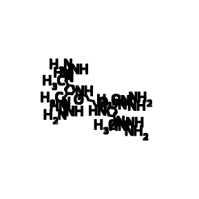 C/C(=N\NC(=N)N)c1cc(NC(=O)CCCCC(=O)Nc2cc(/C(C)=N/NC(=N)N)cc(/C(C)=N/NC(=N)N)c2)cc(/C(C)=N/NC(=N)N)c1